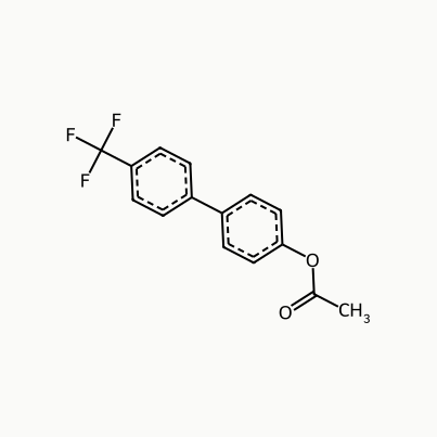 CC(=O)Oc1ccc(-c2ccc(C(F)(F)F)cc2)cc1